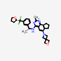 Cc1nc(N[C@H](C)c2cccc(C(F)(F)[C@H]3CCCO3)c2)c2cc(N3CC4(COC4)C3)c3c(c2n1)CCC3